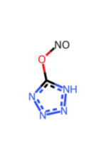 O=NOc1nnn[nH]1